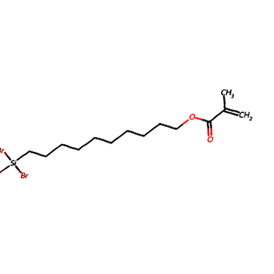 C=C(C)C(=O)OCCCCCCCCCC[Si](Br)(Br)Br